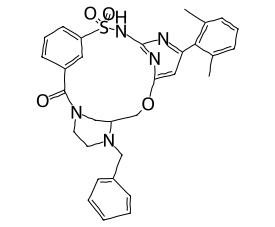 Cc1cccc(C)c1-c1cc2nc(n1)NS(=O)(=O)c1cccc(c1)C(=O)N1CCN(Cc3ccccc3)C(CO2)C1